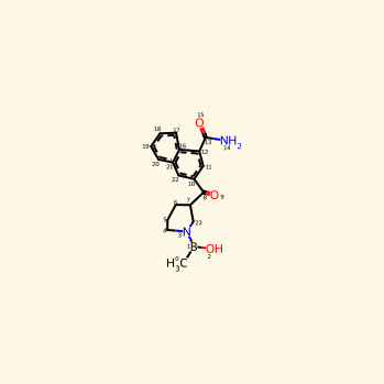 CB(O)N1CCCC(C(=O)c2cc(C(N)=O)c3ccccc3c2)C1